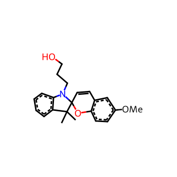 COc1ccc2c(c1)C=CC1(O2)N(CCCO)c2ccccc2C1(C)C